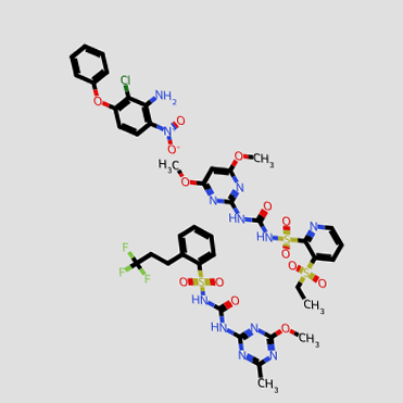 CCS(=O)(=O)c1cccnc1S(=O)(=O)NC(=O)Nc1nc(OC)cc(OC)n1.COc1nc(C)nc(NC(=O)NS(=O)(=O)c2ccccc2CCC(F)(F)F)n1.Nc1c([N+](=O)[O-])ccc(Oc2ccccc2)c1Cl